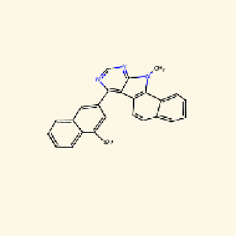 Cn1c2ncnc(-c3cc(C(C)(C)C)c4ccccc4c3)c2c2ccc3ccccc3c21